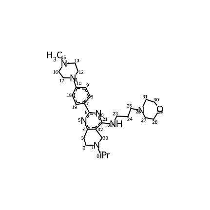 CC(C)N1CCc2nc(-c3ccc(N4CCN(C)CC4)cc3)nc(NCCCN3CCOCC3)c2C1